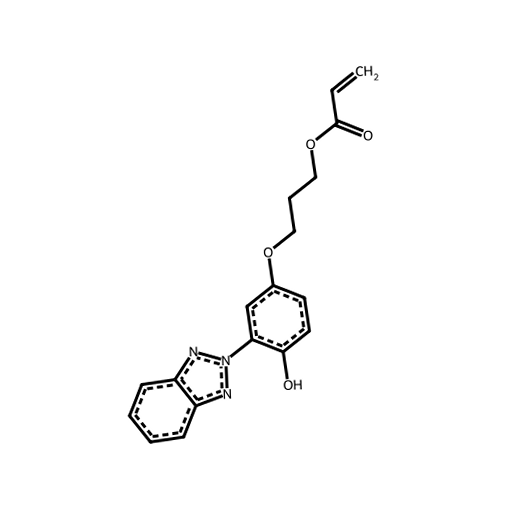 C=CC(=O)OCCCOc1ccc(O)c(-n2nc3ccccc3n2)c1